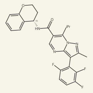 Cc1nn2c(C(C)C)c(C(=O)N[C@H]3CCOc4ccccc43)cnc2c1-c1c(F)ccc(F)c1F